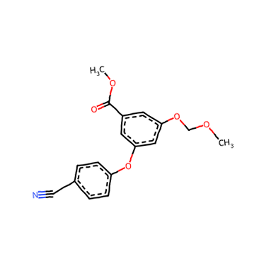 COCOc1cc(Oc2ccc(C#N)cc2)cc(C(=O)OC)c1